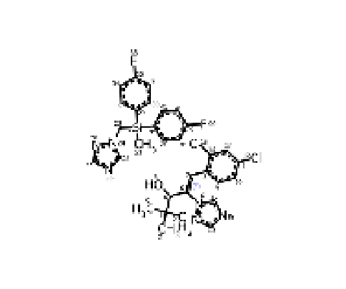 CC(C)(C)C(O)/C(=C/c1ccc(Cl)cc1Cl)n1cncn1.C[Si](Cn1cncn1)(c1ccc(F)cc1)c1ccc(F)cc1